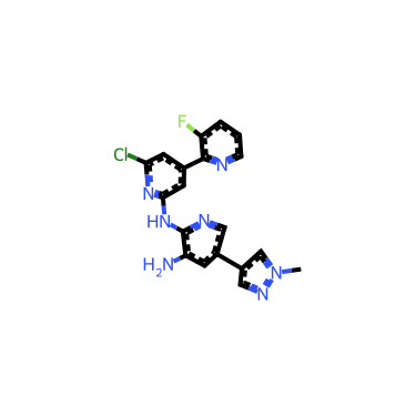 Cn1cc(-c2cnc(Nc3cc(-c4ncccc4F)cc(Cl)n3)c(N)c2)cn1